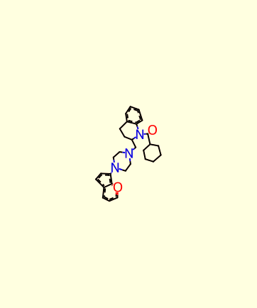 O=C(C1CCCCC1)N1c2ccccc2CCC1CN1CCN(c2ccc3cccoc2-3)CC1